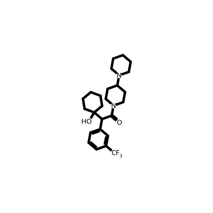 O=C(C(c1cccc(C(F)(F)F)c1)C1(O)CCCCC1)N1CCC(N2CCCCC2)CC1